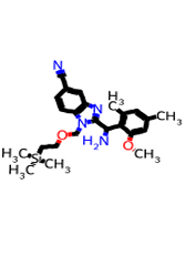 COc1cc(C)cc(C)c1C(N)c1nc2cc(C#N)ccc2n1COCC[Si](C)(C)C